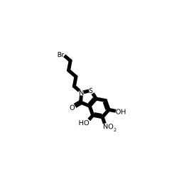 O=c1c2c(O)c([N+](=O)[O-])c(O)cc2sn1CCCCBr